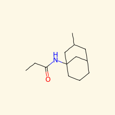 CCC(=O)NC12CCCC(CC(C)C1)C2